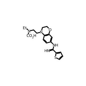 CCN(CCN1CCOc2cc(NC(=N)c3cccs3)ccc21)C(=O)O